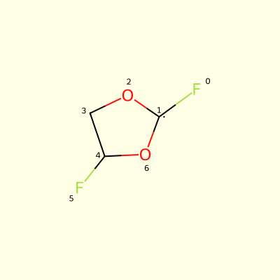 F[C]1OCC(F)O1